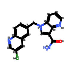 NC(=O)c1cn(Cc2ccc3ncc(Cl)cc3c2)c2cccnc12